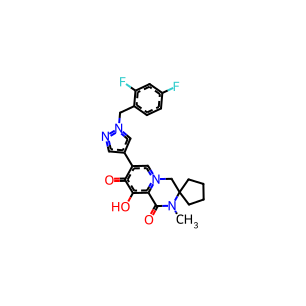 CN1C(=O)c2c(O)c(=O)c(-c3cnn(Cc4ccc(F)cc4F)c3)cn2CC12CCCC2